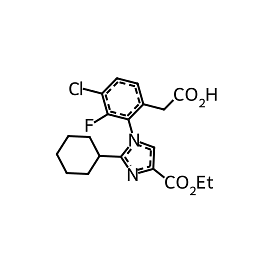 CCOC(=O)c1cn(-c2c(CC(=O)O)ccc(Cl)c2F)c(C2CCCCC2)n1